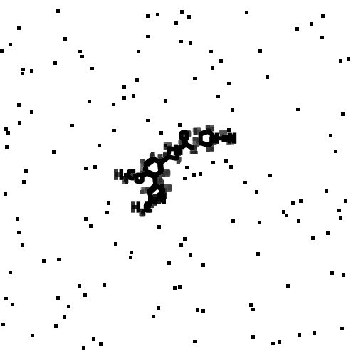 COc1ccc(C2CN(C(=O)C[C@@H]3CCN(C#N)C3)C2)cc1-c1cnn(C)c1